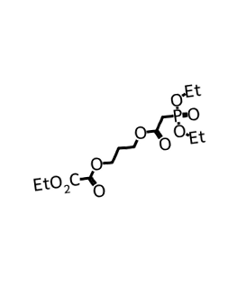 CCOC(=O)C(=O)OCCCOC(=O)CP(=O)(OCC)OCC